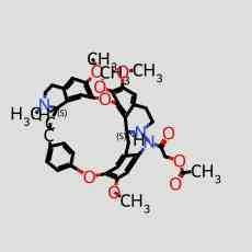 COc1cc2c3cc1Oc1ccc(cc1)CC[C@H]1c4cc(c(OC)cc4CCN1C)Oc1c(OC)c(OC)cc4c1[C@H](C3)N(CC4)N2C(=O)COC(C)=O